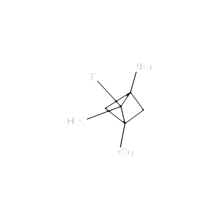 CC(C)(C)C12CC(C(C)(C)C)(C1)C2(C)F